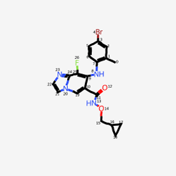 Cc1cc(Br)ccc1Nc1c(C(=O)NOCC2CC2)cn2ccnc2c1F